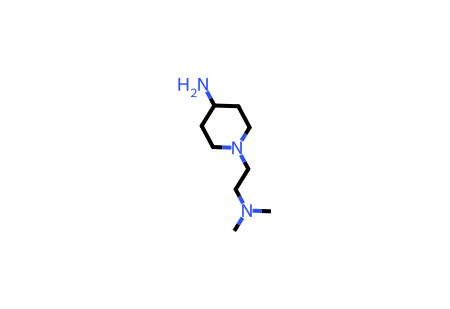 CN(C)CCN1CCC(N)CC1